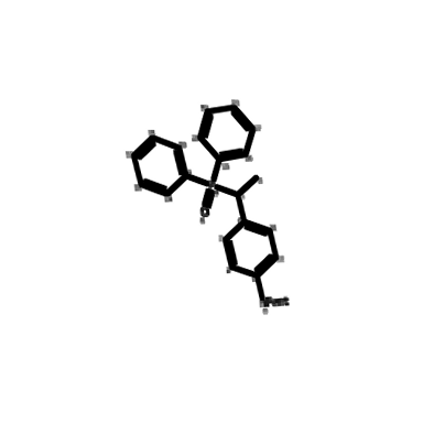 CCCCCc1ccc(C(C)P(=O)(c2ccccc2)c2ccccc2)cc1